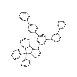 c1ccc(-c2ccc(-c3cc(-c4cccc5c4-c4ccccc4C5(c4ccccc4)c4ccccc4)cc(-c4cccc(-c5ccccc5)c4)n3)cc2)cc1